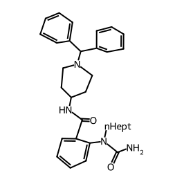 CCCCCCCN(C(N)=O)c1ccccc1C(=O)NC1CCN(C(c2ccccc2)c2ccccc2)CC1